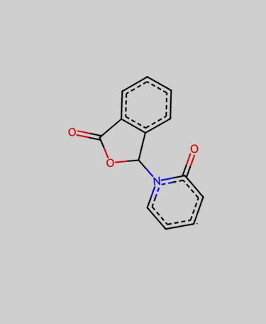 O=C1OC(n2cc[c]cc2=O)c2ccccc21